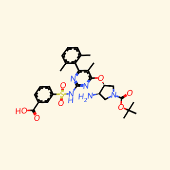 Cc1cccc(C)c1-c1nc(NS(=O)(=O)c2cccc(C(=O)O)c2)nc(O[C@@H]2CN(C(=O)OC(C)(C)C)C[C@H]2N)c1C